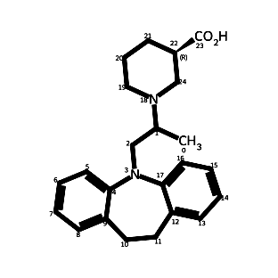 CC(CN1c2ccccc2CCc2ccccc21)N1CCC[C@@H](C(=O)O)C1